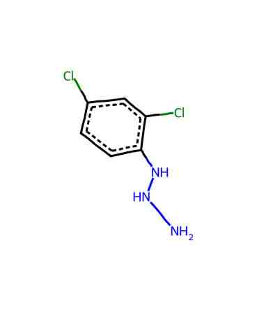 NNNc1ccc(Cl)cc1Cl